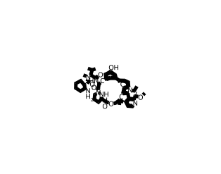 CCn1c(-c2cccnc2[C@H](C)OC)c2c3cc(ccc31)-c1cc(O)cc(c1)C[C@H](NC(=O)C(C(C)C)N(C)C(=O)[C@H]1CCCC[C@H]1N)C(=O)N1CCC[C@H](N1)C(=O)OCC(C)(C)C2